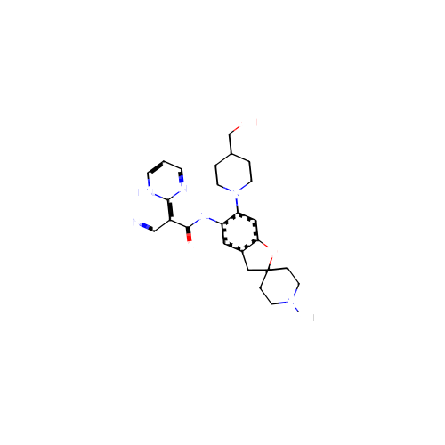 CN1CCC2(CC1)Cc1cc(NC(=O)/C(C=N)=C3\N=CC=CN3)c(N3CCC(CO)CC3)cc1O2